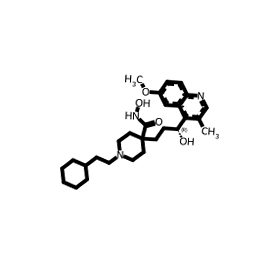 COc1ccc2ncc(C)c([C@H](O)CCC3(C(=O)NO)CCN(CCC4CCCCC4)CC3)c2c1